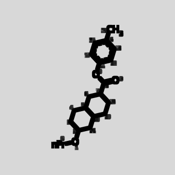 CCCOC1CCC2CC(C(=O)Oc3ccc(C)cc3)CCC2C1